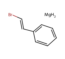 Br/C=C/c1ccccc1.[MgH2]